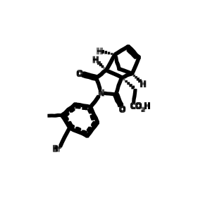 Cc1cc(N2C(=O)[C@H]3[C@H]4C=C[C@H](C4)[C@@]3(CC(=O)O)C2=O)ccc1Br